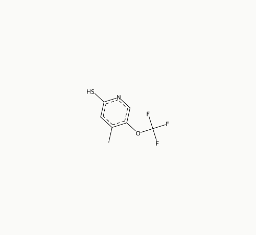 Cc1cc(S)ncc1OC(F)(F)F